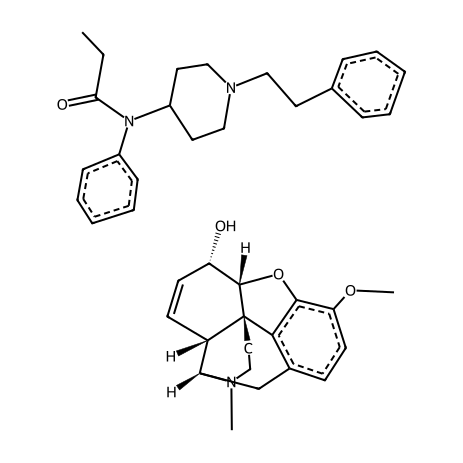 CCC(=O)N(c1ccccc1)C1CCN(CCc2ccccc2)CC1.COc1ccc2c3c1O[C@H]1[C@@H](O)C=C[C@H]4[C@@H](C2)N(C)CC[C@@]341